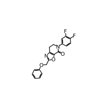 O=C1c2oc(COc3ccccc3)nc2CCN1c1ccc(F)c(F)c1